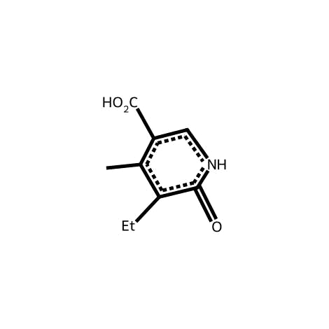 CCc1c(C)c(C(=O)O)c[nH]c1=O